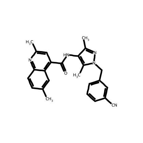 Cc1ccc2nc(C)cc(C(=O)Nc3c(C)nn(Cc4cccc(C#N)c4)c3C)c2c1